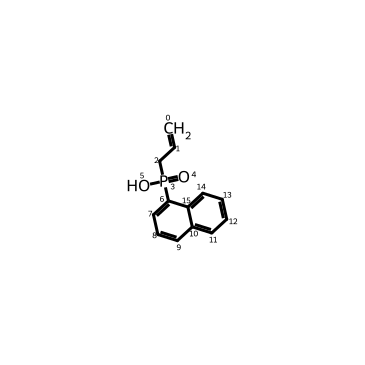 C=CCP(=O)(O)c1cccc2ccccc12